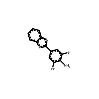 Nc1c(Br)cc(-c2nc3ccccc3s2)cc1Br